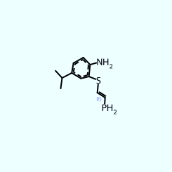 CC(C)c1ccc(N)c(S/C=C/P)c1